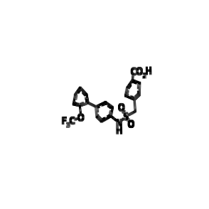 O=C(O)c1ccc(CS(=O)(=O)Nc2ccc(-c3ccccc3OC(F)(F)F)cc2)cc1